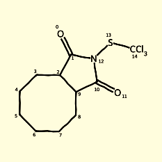 O=C1C2CCCCCCC2C(=O)N1SC(Cl)(Cl)Cl